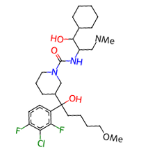 CNCC(NC(=O)N1CCCC(C(O)(CCCCOC)c2ccc(F)c(Cl)c2F)C1)C(O)C1CCCCC1